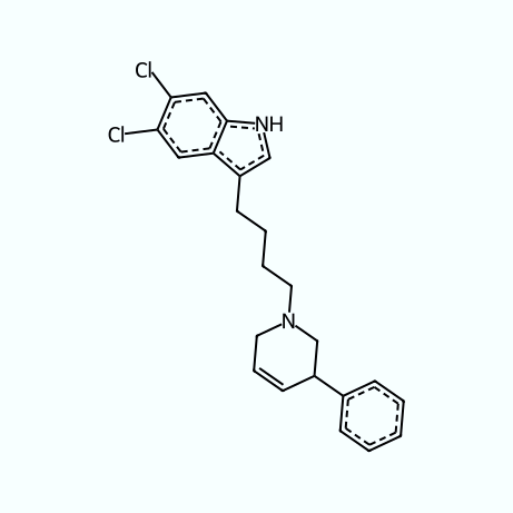 Clc1cc2[nH]cc(CCCCN3CC=CC(c4ccccc4)C3)c2cc1Cl